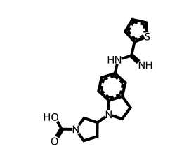 N=C(Nc1ccc2c(c1)CCN2C1CCN(C(=O)O)C1)c1cccs1